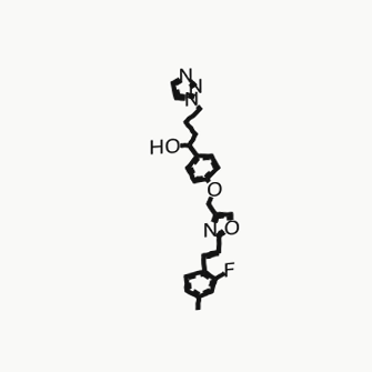 Cc1ccc(/C=C/c2nc(COc3ccc(C(O)CCCn4ccnn4)cc3)co2)c(F)c1